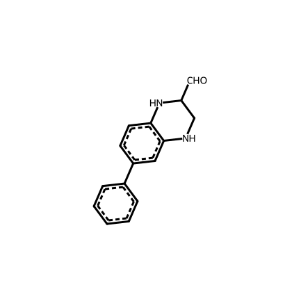 O=CC1CNc2cc(-c3ccccc3)ccc2N1